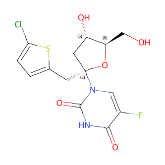 O=c1[nH]c(=O)n([C@@]2(Cc3ccc(Cl)s3)C[C@H](O)[C@@H](CO)O2)cc1F